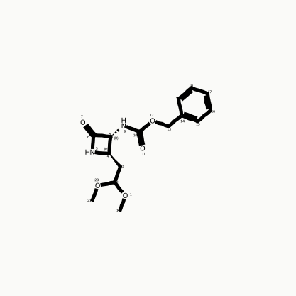 COC(C[C@H]1NC(=O)[C@@H]1NC(=O)OCc1ccccc1)OC